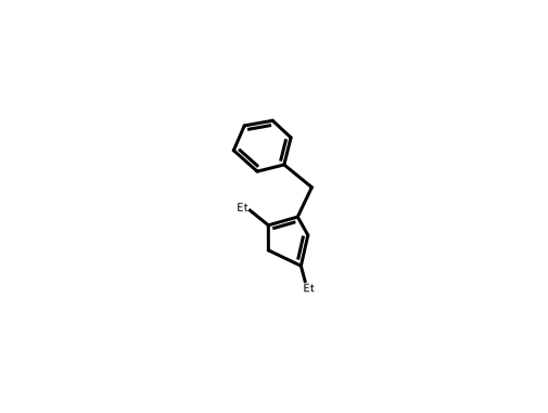 CCC1=CC(Cc2ccccc2)=C(CC)C1